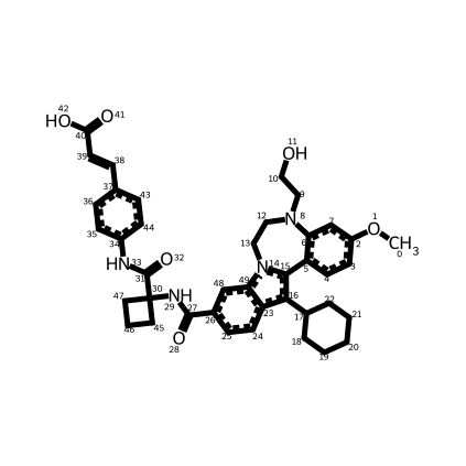 COc1ccc2c(c1)N(CCO)CCn1c-2c(C2CCCCC2)c2ccc(C(=O)NC3(C(=O)Nc4ccc(/C=C/C(=O)O)cc4)CCC3)cc21